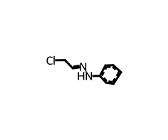 ClCC=NNc1ccccc1